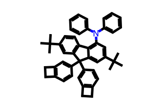 CC(C)(C)c1ccc2c(c1)C(c1ccc3c(c1)CC3)(c1ccc3c(c1)CC3)c1cc(C(C)(C)C)cc(N(c3ccccc3)c3ccccc3)c1-2